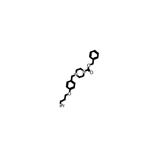 CC(C)CCCOc1ccc(CN2CCN(C(=O)OCc3ccccc3)CC2)cc1